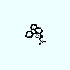 CN(C)CCC1CCc2ccccc2C1(O)c1ccccc1